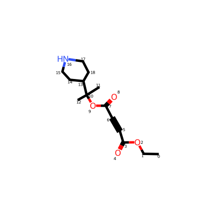 CCOC(=O)C#CC(=O)OC(C)(C)C1CCNCC1